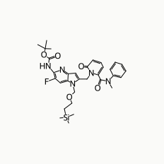 CN(C(=O)c1cccc(=O)n1Cc1cc2nc(NC(=O)OC(C)(C)C)c(F)cc2n1COCC[Si](C)(C)C)c1ccccc1